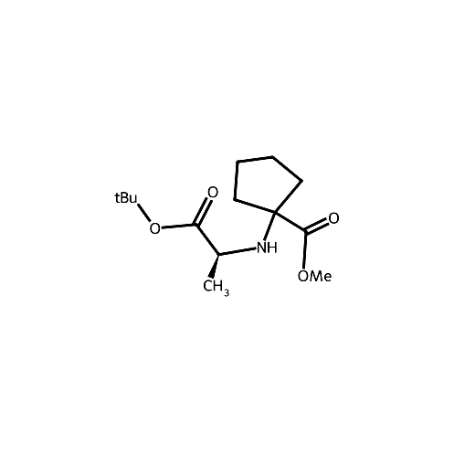 COC(=O)C1(N[C@@H](C)C(=O)OC(C)(C)C)CCCC1